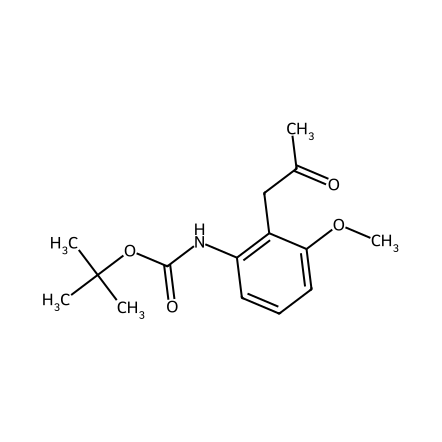 COc1cccc(NC(=O)OC(C)(C)C)c1CC(C)=O